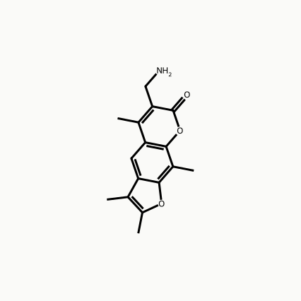 Cc1oc2c(C)c3oc(=O)c(CN)c(C)c3cc2c1C